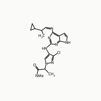 CNC(=O)C(C)n1cc(Nc2nc(/N=C\C(C)C3CC3)c3cc[nH]c3n2)c(Cl)n1